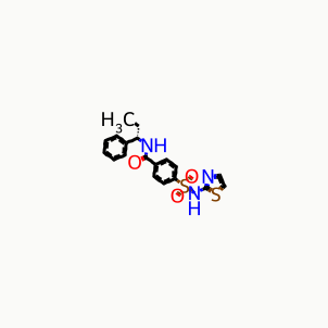 CC[C@H](NC(=O)c1ccc(S(=O)(=O)Nc2nccs2)cc1)c1ccccc1